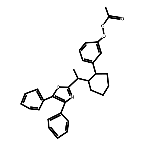 CC(=O)OOc1cccc(C2CCCCC2C(C)c2nc(-c3ccccc3)c(-c3ccccc3)o2)c1